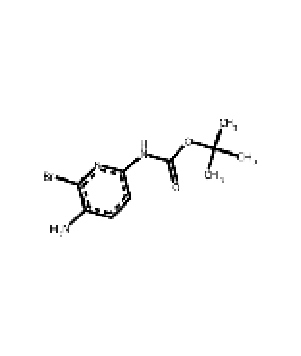 CC(C)(C)OC(=O)Nc1ccc(N)c(Br)n1